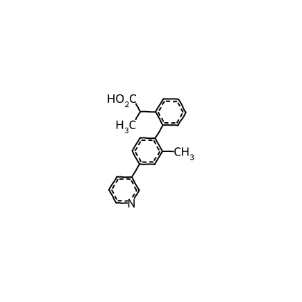 Cc1cc(-c2cccnc2)ccc1-c1ccccc1C(C)C(=O)O